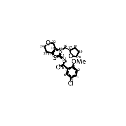 COc1ccc(Cl)cc1C(=O)N=c1sc2c(n1C[C@H]1CCCO1)COCC2